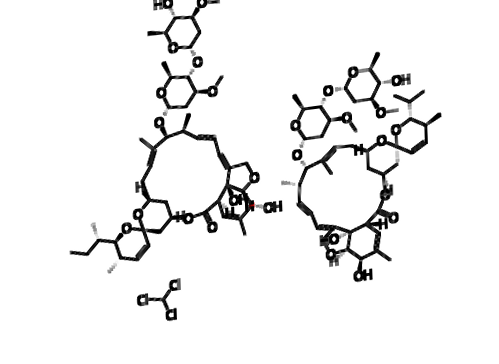 CC[C@H](C)[C@H]1O[C@]2(C=C[C@@H]1C)C[C@@H]1C[C@@H](C/C=C(\C)[C@@H](O[C@H]3C[C@H](OC)[C@@H](O[C@H]4C[C@H](OC)[C@@H](O)[C@H](C)O4)[C@H](C)O3)[C@@H](C)/C=C/C=C3\CO[C@@H]4[C@H](O)C(C)=C[C@@H](C(=O)O1)[C@]34O)O2.CO[C@H]1C[C@H](O[C@H]2[C@H](C)O[C@@H](O[C@@H]3/C(C)=C/C[C@@H]4C[C@@H](C[C@]5(C=C[C@H](C)[C@@H](C(C)C)O5)O4)OC(=O)[C@@H]4C=C(C)[C@@H](O)[C@H]5OC/C(=C\C=C\[C@@H]3C)[C@]54O)C[C@@H]2OC)O[C@@H](C)[C@@H]1O.ClC(Cl)Cl